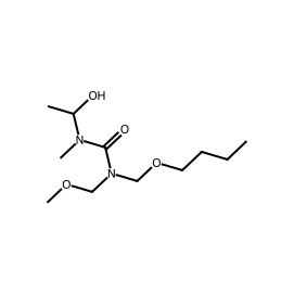 CCCCOCN(COC)C(=O)N(C)C(C)O